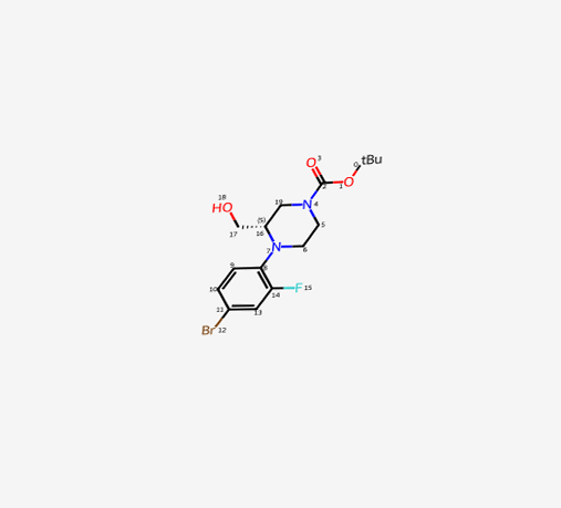 CC(C)(C)OC(=O)N1CCN(c2ccc(Br)cc2F)[C@H](CO)C1